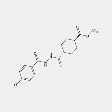 COC(=O)[C@H]1CC[C@H](C(=O)NNC(=O)c2ccc(Cl)cc2)CC1